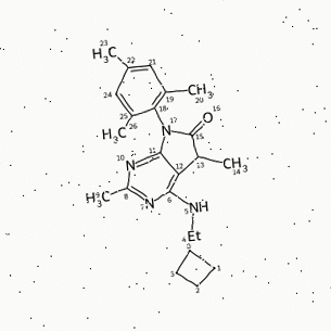 C1CCC1.CCNc1nc(C)nc2c1C(C)C(=O)N2c1c(C)cc(C)cc1C